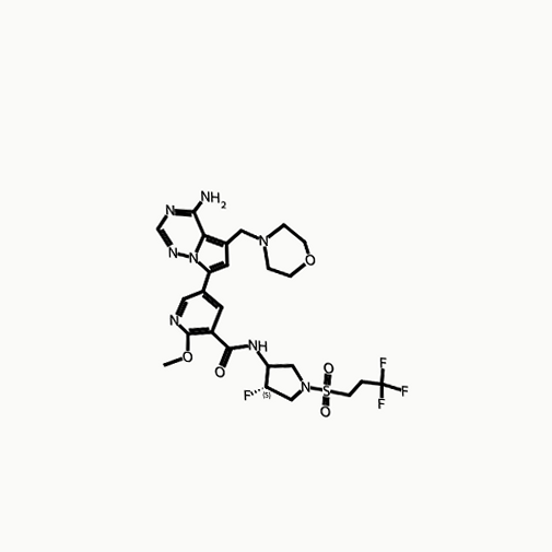 COc1ncc(-c2cc(CN3CCOCC3)c3c(N)ncnn23)cc1C(=O)NC1CN(S(=O)(=O)CCC(F)(F)F)C[C@@H]1F